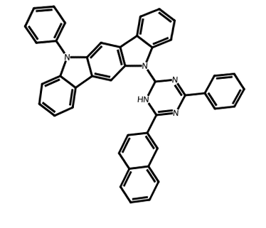 c1ccc(C2=NC(n3c4ccccc4c4cc5c(cc43)c3ccccc3n5-c3ccccc3)NC(c3ccc4ccccc4c3)=N2)cc1